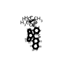 CC1(C)OB(c2ccc3c(c2)C2(c4cc5ccccc5cc4S3)c3ccccc3-c3ccccc32)OC1(C)C